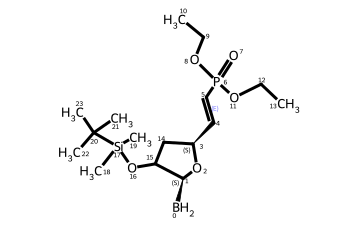 B[C@@H]1O[C@H](/C=C/P(=O)(OCC)OCC)CC1O[Si](C)(C)C(C)(C)C